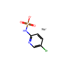 O=S(=O)([O-])Nc1ccc(Br)cn1.[Na+]